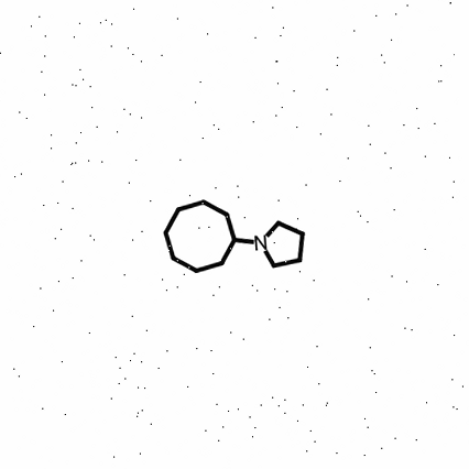 C1CCCC(N2CCCC2)CCC1